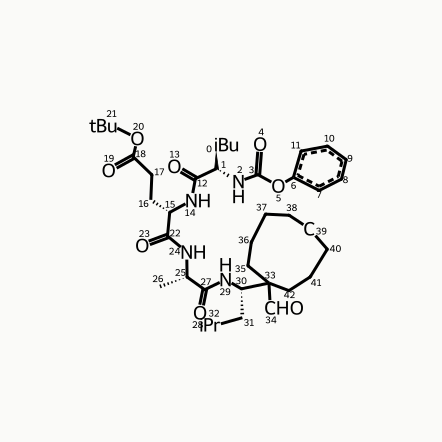 CC[C@H](C)[C@H](NC(=O)Oc1ccccc1)C(=O)N[C@@H](CCC(=O)OC(C)(C)C)C(=O)N[C@@H](C)C(=O)N[C@@H](CC(C)C)C1(C=O)CCCCCCCC1